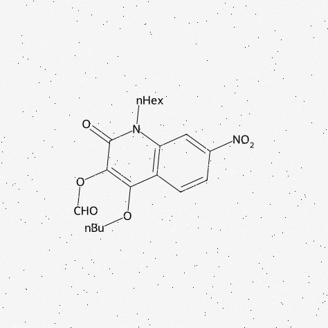 CCCCCCn1c(=O)c(OC=O)c(OCCCC)c2ccc([N+](=O)[O-])cc21